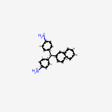 Nc1ccc(C(c2ccc(N)cc2)c2ccc3ccccc3c2)cc1